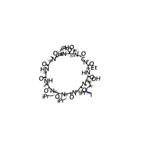 C/C=C/C[C@@H](C)[C@@H](O)[C@H]1C(=O)N[C@@H](CC)C(=O)N(C)CC(=O)N(C)[C@@H]([C@@H](C)O)C(=O)N[C@@H](CC(C)C)C(=O)N(C)[C@@H](C)C(=O)N[C@@H](C)C(=O)N[C@H](C)C(=O)N(C)[C@@H](CC(C)C)C(=O)N(C)[C@@H](CC(C)C)C(=O)N(C)[C@@H](C(C)C)C(=O)N1C